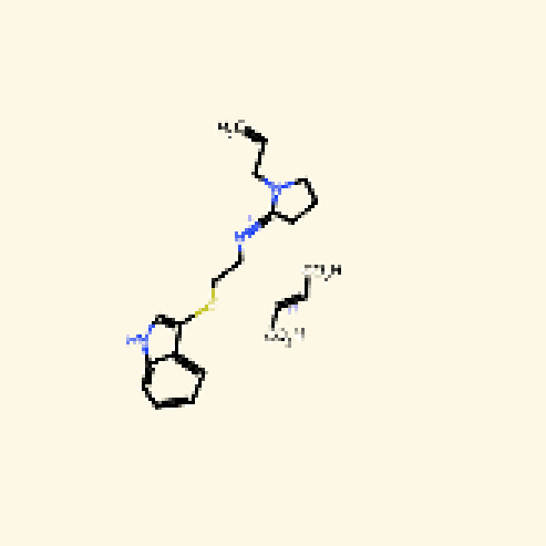 C=CCN1CCC/C1=N\CCSc1c[nH]c2ccccc12.O=C(O)/C=C/C(=O)O